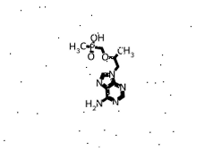 CC(Cn1cnc2c(N)ncnc21)OCP(C)(=O)O